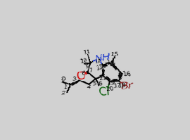 CC(C)=CCC1(C)C(=O)C(C)(C)Nc2c(C)cc(Br)c(Cl)c21